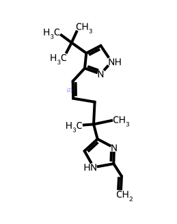 C=Cc1nc(C(C)(C)C/C=C\c2n[nH]cc2C(C)(C)C)c[nH]1